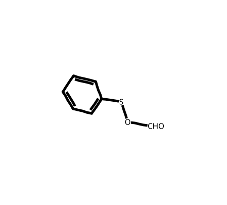 O=COSc1ccccc1